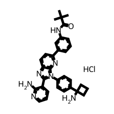 CC(C)(C)C(=O)Nc1cccc(-c2ccc3nc(-c4cccnc4N)n(-c4ccc(C5(N)CCC5)cc4)c3n2)c1.Cl